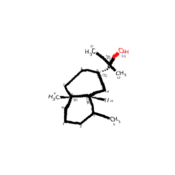 CC1CCC[C@]2(C)CC[C@H](C(C)(C)O)C[C@H]12